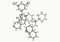 NC(=O)[C@@]1(Cc2ccccc2)C[C@@H](N(Cc2ccnc3ccccc23)C2CCCCC2)CCN1C(=O)c1cc(Cl)cc(Cl)c1